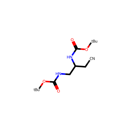 CC(C)(C)OC(=O)NCC(CC#N)NC(=O)OC(C)(C)C